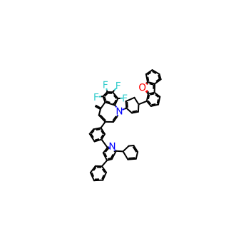 C=C1/C=C(c2cccc(-c3cc(-c4ccccc4)cc(C4C=CC=CC4)n3)c2)\C=C/N(C2=CCC(c3cccc4c3oc3ccccc34)C=C2)c2c(F)c(F)c(F)c(F)c21